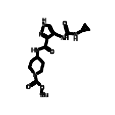 CC(C)(C)OC(=O)N1CCC(NC(=O)c2n[nH]cc2NC(=O)NC2CC2)CC1